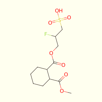 COC(=O)C1CCCCC1C(=O)OCC(F)CS(=O)(=O)O